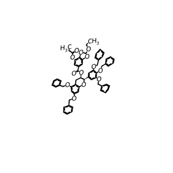 CCOC1Oc2cc(C(=O)O[C@@H]3Cc4c(OCc5ccccc5)cc(OCc5ccccc5)cc4O[C@@H]3c3cc(OCc4ccccc4)c(OCc4ccccc4)c(OCc4ccccc4)c3)cc(OC(=O)CC)c2O1